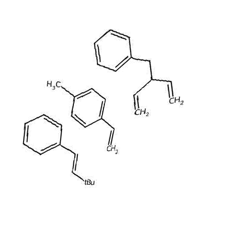 C=CC(C=C)Cc1ccccc1.C=Cc1ccc(C)cc1.CC(C)(C)C=Cc1ccccc1